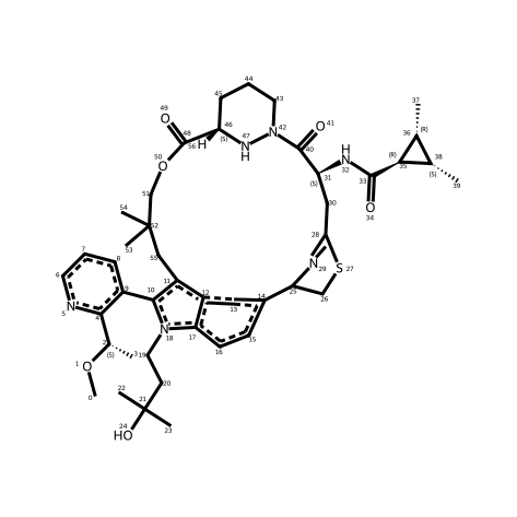 CO[C@@H](C)c1ncccc1-c1c2c3cc(ccc3n1CCC(C)(C)O)C1CSC(=N1)C[C@H](NC(=O)[C@H]1[C@H](C)[C@@H]1C)C(=O)N1CCC[C@H](N1)C(=O)OCC(C)(C)C2